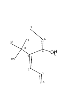 C=C/C=C(\C(O)=C/C)C(C)(C)C